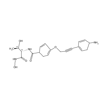 C[C@@H](O)[C@H](NC(=O)C1C=CC(OCC#CC2=CCC(N)C=C2)=CC1)C(=O)NO